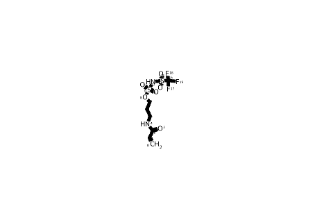 C=CC(=O)NCCCOS(=O)(=O)NS(=O)(=O)C(F)(F)F